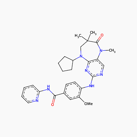 COc1cc(C(=O)Nc2ccccn2)ccc1Nc1ncc2c(n1)N(C1CCCC1)CC(C)(C)C(=O)N2C